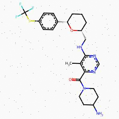 Cc1c(NC[C@H]2CCC[C@@H](c3ccc(SC(F)(F)F)cc3)O2)ncnc1C(=O)N1CCC(N)CC1